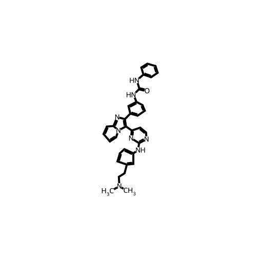 CN(C)CCc1cccc(Nc2nccc(-c3c(-c4cccc(NC(=O)Nc5ccccc5)c4)nc4ccccn34)n2)c1